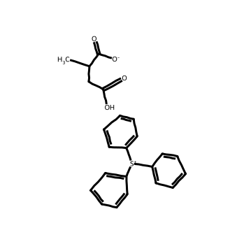 CC(CC(=O)O)C(=O)[O-].c1ccc([S+](c2ccccc2)c2ccccc2)cc1